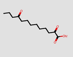 CCCC(=O)CCCCCCCC(=O)C(=O)O